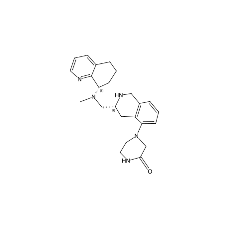 CN(C[C@H]1Cc2c(cccc2N2CCNC(=O)C2)CN1)[C@H]1CCCc2cccnc21